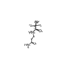 CNC(=O)CCNC(=O)C(C)(C)Br